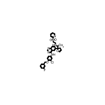 CC(NCCS(=O)(=O)c1ccccn1)C1(c2ccc3ncnc(Nc4ccc(OCc5cccc(F)c5)c(Cl)c4)c3c2)CC=CO1